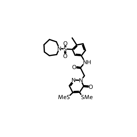 CSc1cnn(CC(=O)Nc2ccc(C)c(S(=O)(=O)N3CCCCCC3)c2)c(=O)c1SC